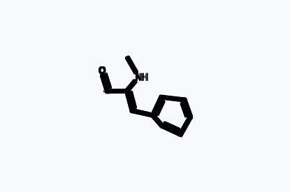 CNC([C]=O)=Cc1ccccc1